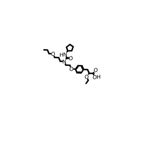 CCCOCCCN(CCOc1ccc(CC(OCC)C(=O)O)cc1)C(=O)NC1CCCC1